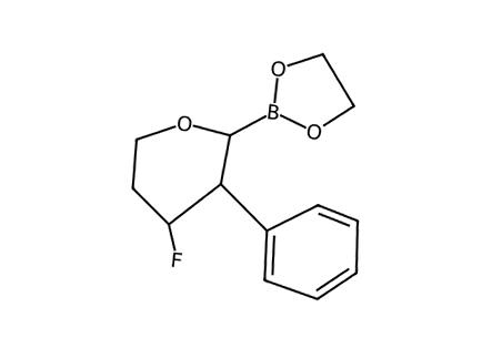 FC1CCOC(B2OCCO2)C1c1ccccc1